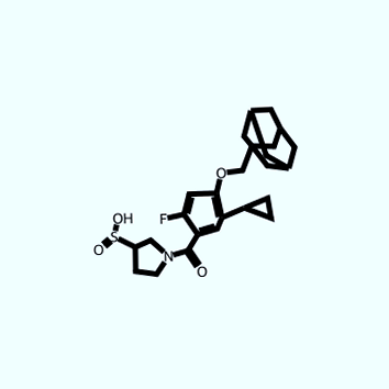 O=C(c1cc(C2CC2)c(OCC23CC4CC(CC(C4)C2)C3)cc1F)N1CCC(S(=O)O)C1